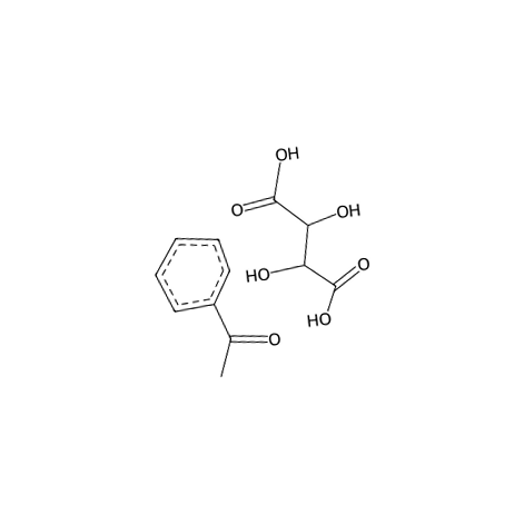 CC(=O)c1ccccc1.O=C(O)C(O)C(O)C(=O)O